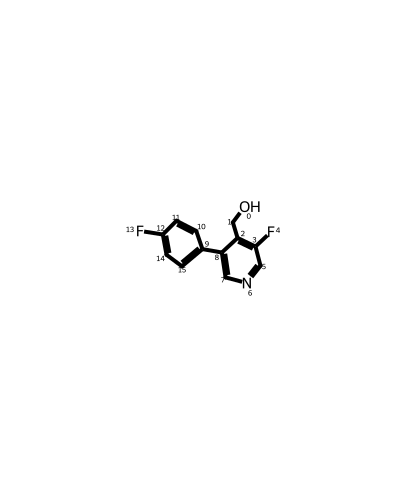 OCc1c(F)cncc1-c1ccc(F)cc1